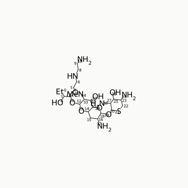 CCC(O)C(OCCNCCN)OC1OC2CC(N)C(OC3SCC(N)C(O)C3N)OC2C(O)C1NC